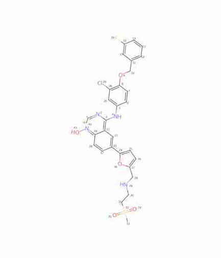 C\C=N/C(Nc1ccc(OCc2cccc(F)c2)c(Cl)c1)=C1/C=C(c2ccc(CNCCS(C)(=O)=O)o2)C=C/C1=N\O